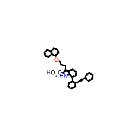 O=C(O)c1[nH]c2c(-c3ccccc3C#Cc3ccccc3)cccc2c1CCCOc1cccc2ccccc12